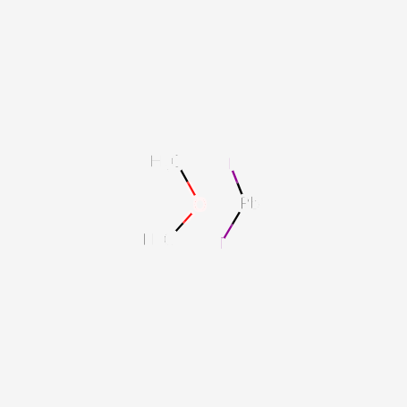 COC.[I][Pb][I]